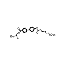 CCCCCCCCCCCCCCCC(=O)Oc1ccc(-c2ccc(C(=O)OCC(Cl)C(C)CC)cc2)cc1